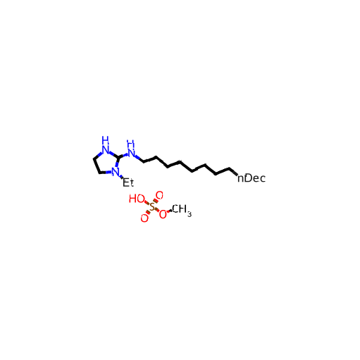 CCCCCCCCCCCCCCCCCCNC1NCCN1CC.COS(=O)(=O)O